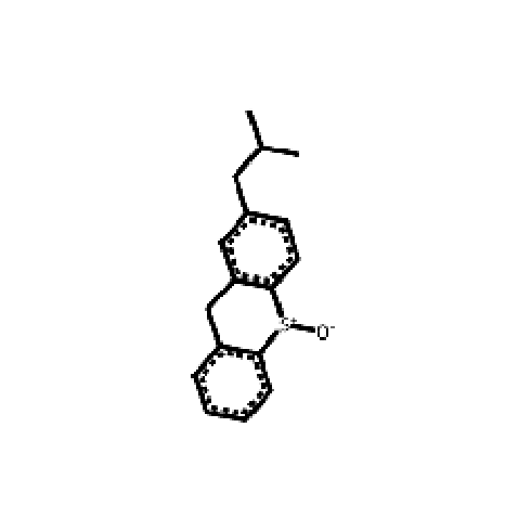 CC(C)Cc1ccc2c(c1)Cc1ccccc1[S+]2[O-]